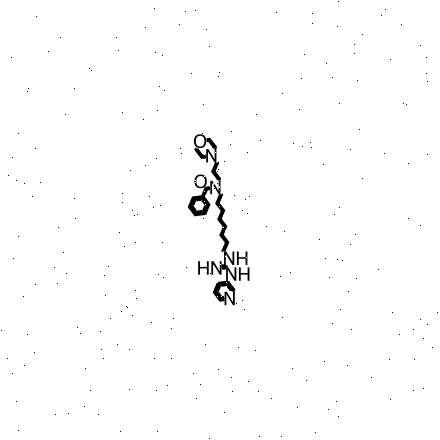 N=C(NCCCCCCCCN(CCCN1CCOCC1)C(=O)c1ccccc1)Nc1cccnc1